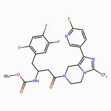 CC(C)(C)OC(=O)NC(CC(=O)N1CCn2c(C(F)(F)F)nc(-c3ccc(F)nc3)c2C1)Cc1cc(F)c(F)cc1F